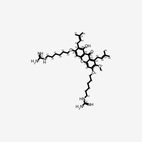 COc1c(OCCCCCCNC(=N)N)cc2oc3cc(OCCCCCCNC(=N)N)c(CC=C(C)C)c(O)c3c(=O)c2c1CC=C(C)C